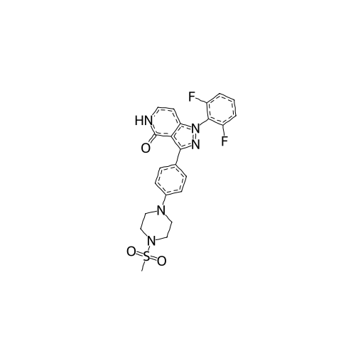 CS(=O)(=O)N1CCN(c2ccc(-c3nn(-c4c(F)cccc4F)c4cc[nH]c(=O)c34)cc2)CC1